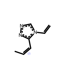 C=Cn1cnnc1/C=C\C